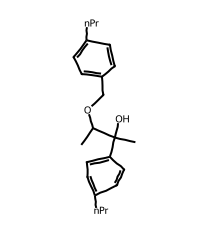 CCCc1ccc(COC(C)C(C)(O)c2ccc(CCC)cc2)cc1